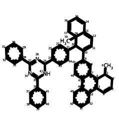 CC1CC=Cc2c1c1cc(C3=CC=C4C=CC=CC4(C)C3c3ccc(C4N=C(c5ccccc5)N=C(c5ccccc5)N4)cc3)ccc1c1ccccc21